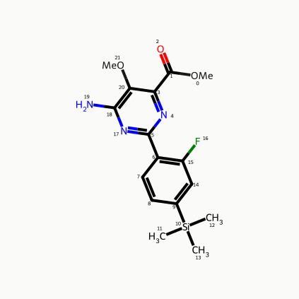 COC(=O)c1nc(-c2ccc([Si](C)(C)C)cc2F)nc(N)c1OC